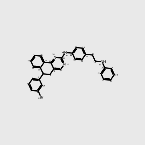 Brc1cccc(C2Cc3cnc(Nc4ccc(CCNc5ccccc5)cc4)nc3-c3ccccc32)c1